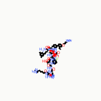 CCc1cc(OCCCCN=[N+]=[N-])ccc1-c1ccc(C[C@H](NC(=O)[C@H](CC(=O)O)NC(=O)[C@H](C)NC(=O)[C@@H](NC(=O)[C@](C)(Cc2ccccc2F)NC(=O)[C@@H](NC(=O)CNC(=O)[C@H](Cc2nn[nH]n2)NC(=O)C(C)(C)NC(=O)CCCCc2c[nH]cn2)[C@@H](C)O)[C@@H](C)O)C(=O)N[C@@H](CCCc2cc(C)cc(C)c2)C(N)=O)cc1